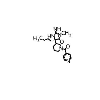 CCCC[C@]1(C2CCCN(C(=O)c3ccncc3)C2)NC(=N)N(C)C1=O